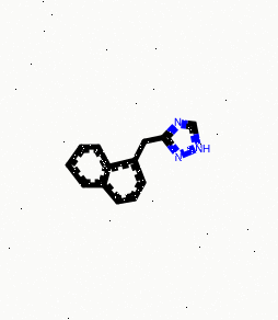 c1ccc2c(Cc3nc[nH]n3)cccc2c1